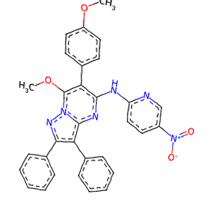 COc1ccc(-c2c(Nc3ccc([N+](=O)[O-])cn3)nc3c(-c4ccccc4)c(-c4ccccc4)nn3c2OC)cc1